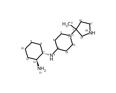 CC1(N2CCC(N[C@H]3CCCC[C@@H]3N)CC2)CCNC1